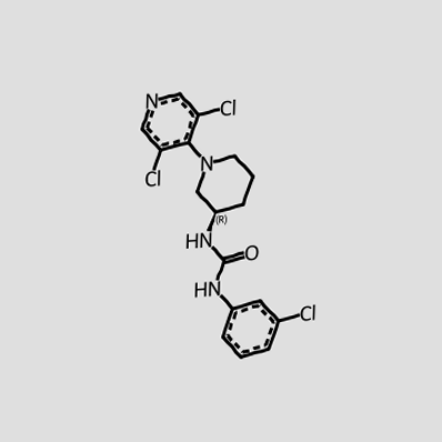 O=C(Nc1cccc(Cl)c1)N[C@@H]1CCCN(c2c(Cl)cncc2Cl)C1